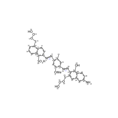 COc1cc(/N=N/c2ccc3c(SOOO)cccc3c2S(=O)(=O)O)c(C)cc1/N=N/c1c(SOOO)cc2cc(N)ccc2c1O